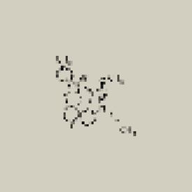 CCCCN1C(=O)C2(C(C(=O)OC)=CC3([N+](=O)[O-])C(c4ccc(C)cc4)Oc4ccccc4C23)c2cc(F)ccc21